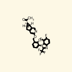 CC(=O)[C@H]1[C@@H]2Cc3cc(OCc4cccc(-n5c(C(F)(F)F)nc6ccc(F)c(F)c65)c4C)ncc3[C@@H]21